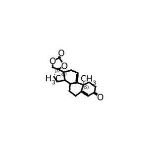 C[C@]12CCC(=O)C=C1CCC1C2=CC[C@@]2(C)C1CC[C@@]21COC(=O)O1